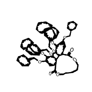 O=C1OCCCCOC(=O)c2cc(OCc3ccccc3)c(OCc3ccccc3)c(OCc3ccccc3)c2-c2c1cc(OCc1ccccc1)c(OCc1ccccc1)c2OCc1ccccc1